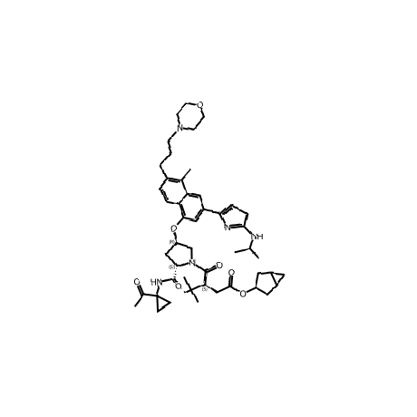 CC(=O)C1(NC(=O)[C@@H]2C[C@@H](Oc3cc(C4=CCC(NC(C)C)=N4)cc4c(C)c(CCCN5CCOCC5)ccc34)CN2C(=O)[C@@H](CC(=O)OC2CC3CC3C2)C(C)(C)C)CC1